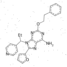 CCC(c1ccncc1)n1c(-c2ccco2)nc2c(N)nc(OCCc3ccccc3)nc21